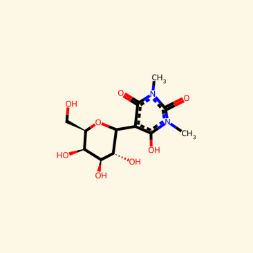 Cn1c(O)c(C2O[C@H](CO)[C@H](O)[C@H](O)[C@H]2O)c(=O)n(C)c1=O